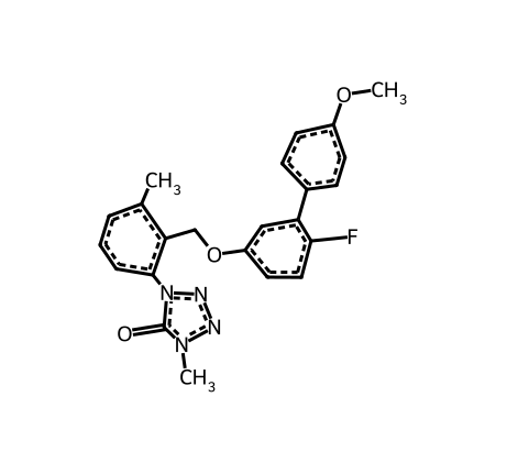 COc1ccc(-c2cc(OCc3c(C)cccc3-n3nnn(C)c3=O)ccc2F)cc1